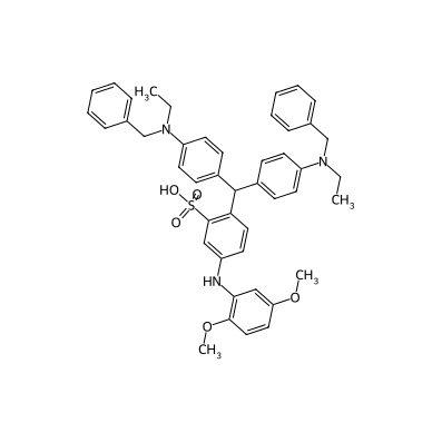 CCN(Cc1ccccc1)c1ccc(C(c2ccc(N(CC)Cc3ccccc3)cc2)c2ccc(Nc3cc(OC)ccc3OC)cc2S(=O)(=O)O)cc1